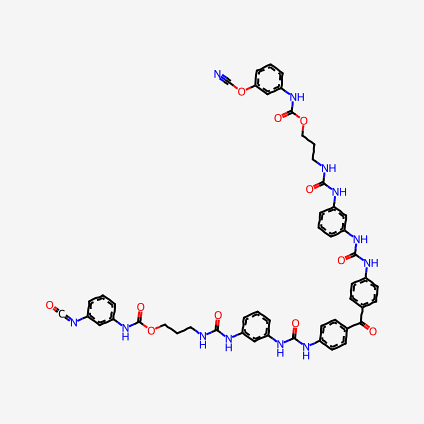 N#COc1cccc(NC(=O)OCCCNC(=O)Nc2cccc(NC(=O)Nc3ccc(C(=O)c4ccc(NC(=O)Nc5cccc(NC(=O)NCCCOC(=O)Nc6cccc(N=C=O)c6)c5)cc4)cc3)c2)c1